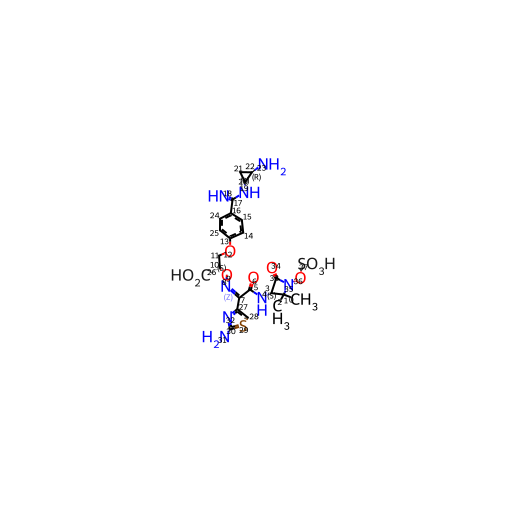 CC1(C)[C@H](NC(=O)/C(=N\O[C@@H](COc2ccc(C(=N)N[C@@H]3C[C@H]3N)cc2)C(=O)O)c2csc(N)n2)C(=O)N1OS(=O)(=O)O